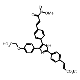 CCOC(=O)C=Cc1ccc(-c2nc(-c3ccc(OCC(=O)O)cc3)c(-c3ccc(C=CC(=O)N(CC)OC)cc3)[nH]2)cc1